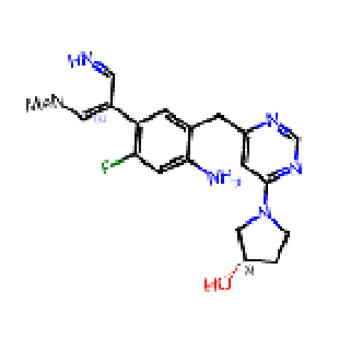 CN/C=C(\C=N)c1cc(Cc2cc(N3CC[C@H](O)C3)ncn2)c(N)cc1F